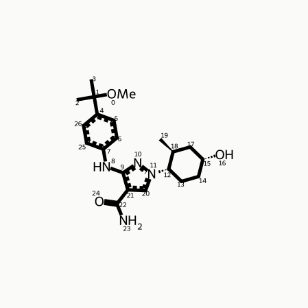 COC(C)(C)c1ccc(Nc2nn([C@H]3CC[C@@H](O)C[C@@H]3C)cc2C(N)=O)cc1